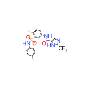 Cc1ccc(NS(=O)(=O)c2cc(NC(=O)c3cnc(C(F)(F)F)[nH]3)ccc2F)cc1